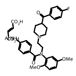 COc1ccc(OC)c(N(CCN2CCC(C(=O)c3ccc(F)cc3)CC2)C(=O)c2ccc(NC(C)=O)cc2)c1.O=C(O)C=CC(=O)O